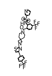 O=C(c1ccc(C(F)(F)F)cc1NS(=O)(=O)c1cccnc1)N1CCC2(CC1)CN(c1nc(-c3ccc(C(F)(F)F)cc3)cs1)C2